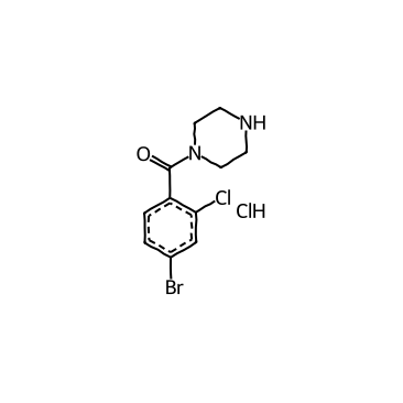 Cl.O=C(c1ccc(Br)cc1Cl)N1CCNCC1